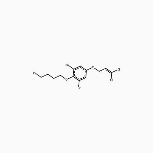 ClCCCCOc1c(Br)cc(OCC=C(Cl)Cl)cc1Br